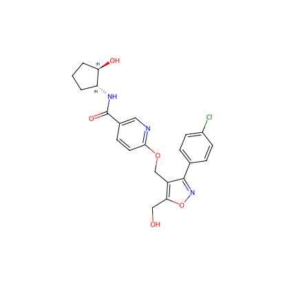 O=C(N[C@@H]1CCC[C@H]1O)c1ccc(OCc2c(-c3ccc(Cl)cc3)noc2CO)nc1